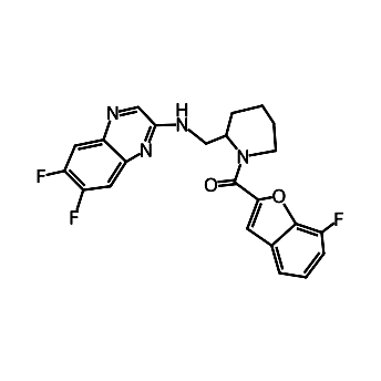 O=C(c1cc2cccc(F)c2o1)N1CCCCC1CNc1cnc2cc(F)c(F)cc2n1